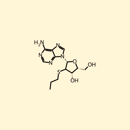 CCCSC1[C@@H](O)[C@@H](CO)O[C@H]1n1cnc2c(N)ncnc21